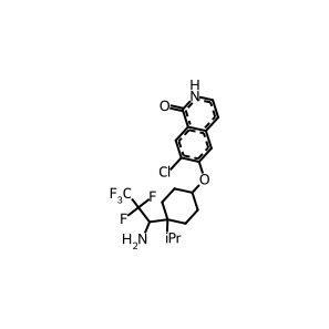 CC(C)C1(C(N)C(F)(F)C(F)(F)F)CCC(Oc2cc3cc[nH]c(=O)c3cc2Cl)CC1